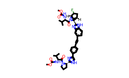 COC(=O)N[C@H](C(=O)N1CCC[C@H]1c1nc(-c2ccc(C#Cc3ccc4[nH]c([C@@H]5[C@H]6C[C@H](F)[C@H](C6)N5C(=O)[C@@H](NC(=O)OC)C(C)C)nc4c3)cc2)c[nH]1)C(C)C